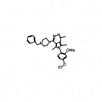 CCOc1ccc(-n2c(C)c3c(C)nnc(N4CCN(Cc5ccccc5)CC4)c3c2C)c(OC)c1